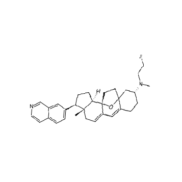 CN(CCF)[C@@H]1CCC2=CC3=CC[C@]4(C)[C@@H](c5ccc6ccncc6c5)CC[C@H]4[C@@]34CCC2(C1)O4